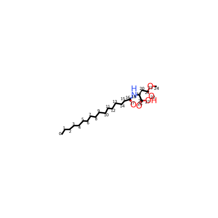 CCCCCCCCCCCCCCCCC(=O)N[C@@H](CC(=O)OC)C(=O)O